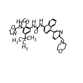 COc1c(NC(=O)Nc2ccc(-c3ccc(CN4CCOCC4)nc3)c3ccccc23)cc(C(C)(C)C)cc1NC1=NCCO1